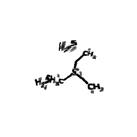 C[S+](C)C.S.S